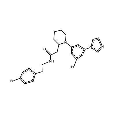 CC(C)c1cc(N2CCCCC2CC(=O)NCCc2ccc(Br)cc2)nc(-n2ccnc2)n1